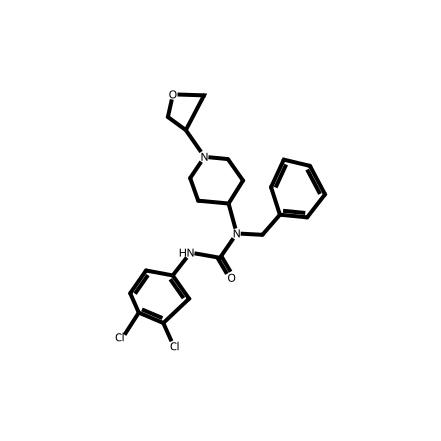 O=C(Nc1ccc(Cl)c(Cl)c1)N(Cc1ccccc1)C1CCN(C2COC2)CC1